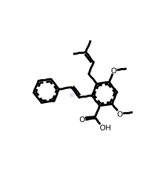 COc1cc(OC)c(C(=O)O)c(/C=C/c2ccccc2)c1CC=C(C)C